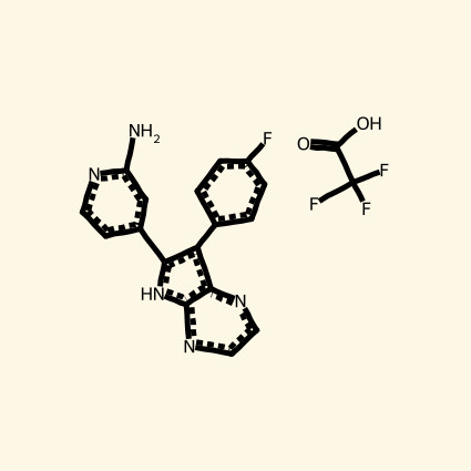 Nc1cc(-c2[nH]c3nccnc3c2-c2ccc(F)cc2)ccn1.O=C(O)C(F)(F)F